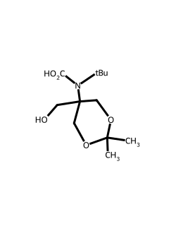 CC1(C)OCC(CO)(N(C(=O)O)C(C)(C)C)CO1